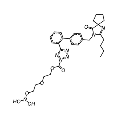 CCCCC1=NC2(CCCC2)C(=O)N1Cc1ccc(-c2ccccc2-c2nnn(C(=O)OCCOCCON(O)O)n2)cc1